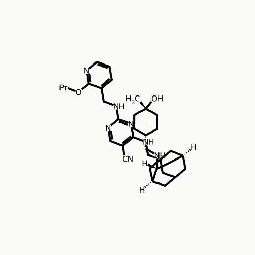 CC(C)Oc1ncccc1CNc1ncc(C#N)c(NC[C@]23CC4C[C@H](C2)[C@@H](NC[C@H]2CC[C@@](C)(O)CC2)[C@@H](C4)C3)n1